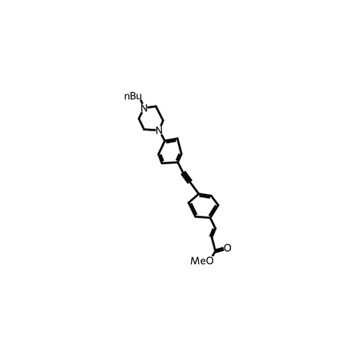 CCCCN1CCN(c2ccc(C#Cc3ccc(/C=C/C(=O)OC)cc3)cc2)CC1